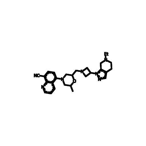 CCN1CCc2cnn(C3CN(CC4CN(c5ccc(C#N)c6ncccc56)CC(C)O4)C3)c2C1